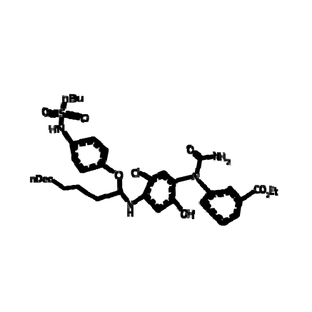 CCCCCCCCCCCCCC(Nc1cc(O)c(N(C(N)=O)c2cccc(C(=O)OCC)c2)cc1Cl)Oc1ccc(NS(=O)(=O)CCCC)cc1